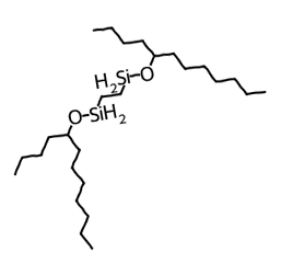 CCCCCCCC(CCCC)O[SiH2]CC[SiH2]OC(CCCC)CCCCCCC